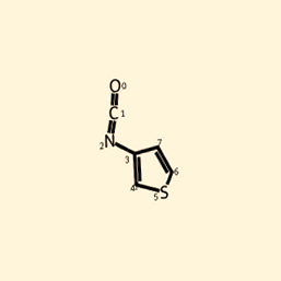 O=C=Nc1[c]scc1